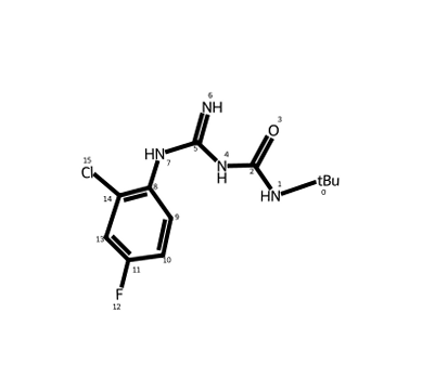 CC(C)(C)NC(=O)NC(=N)Nc1ccc(F)cc1Cl